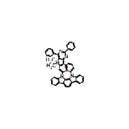 C[Si]1(C)c2cc(-n3c4ccccc4c4ccc5c6ccccc6n(-c6ccccc6)c5c43)ccc2-c2nc(-c3ccccc3)nc(-c3ccccc3)c21